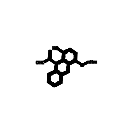 CCCCCCOc1ccc(O)c2c(C(=O)C=O)c3ccccc3cc12